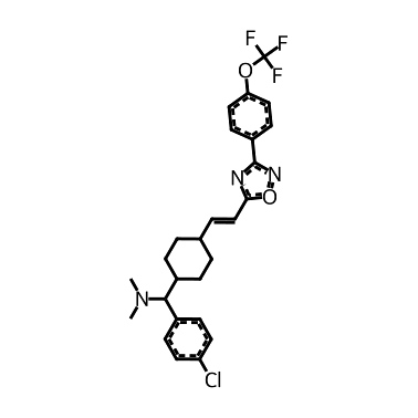 CN(C)C(c1ccc(Cl)cc1)C1CCC(C=Cc2nc(-c3ccc(OC(F)(F)F)cc3)no2)CC1